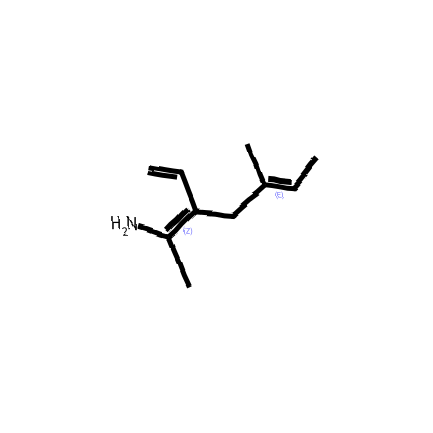 C=C/C(C/C(C)=C/C)=C(/C)N